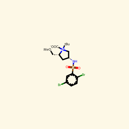 COC[C@H]1C[C@@H](NS(=O)(=O)c2cc(Br)ccc2Br)C[N+]1(C(=O)[O-])C(C)(C)C